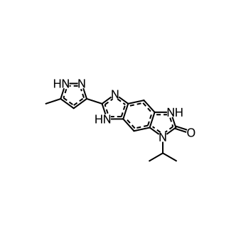 Cc1cc(-c2nc3cc4[nH]c(=O)n(C(C)C)c4cc3[nH]2)n[nH]1